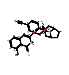 N#Cc1ccc(N2CC3CCC(C2)N3C(=O)CCc2cc3cccc(F)c3c(=O)[nH]2)nc1